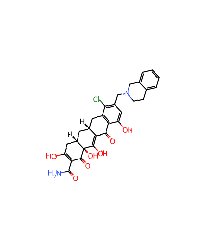 NC(=O)C1=C(O)C[C@@H]2C[C@@H]3Cc4c(Cl)c(CN5CCc6ccccc6C5)cc(O)c4C(=O)C3=C(O)[C@]2(O)C1=O